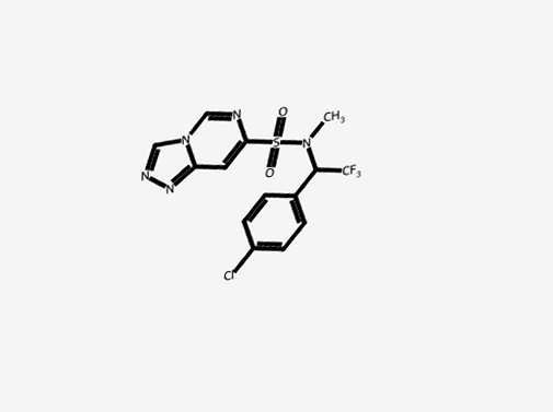 CN(C(c1ccc(Cl)cc1)C(F)(F)F)S(=O)(=O)c1cc2nncn2cn1